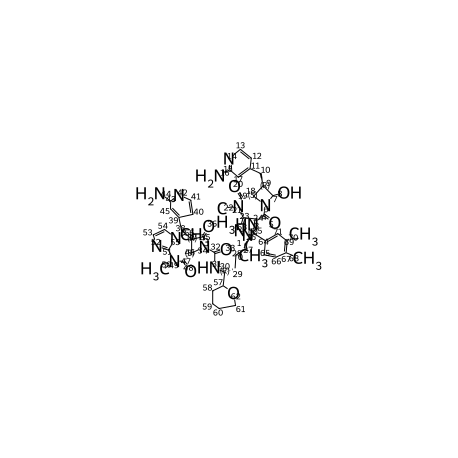 CC[C@@H](NC(=O)N1C(O)[C@H](Cc2ccnc(N)c2)[C@H]1C(=O)N(C)c1ccn(CCC[C@@H](NC(=O)N2C(=O)[C@H](Cc3ccnc(N)c3)[C@H]2C(=O)N(C)c2nccn2C)C2CCCCO2)n1)c1ccc(C)c(C)c1